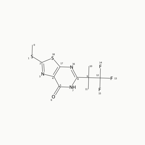 CSc1nc2c(=O)[nH]c(C(C)(C)C(F)(F)F)nc2s1